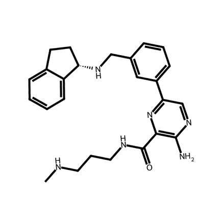 CNCCCNC(=O)c1nc(-c2cccc(CN[C@H]3CCc4ccccc43)c2)cnc1N